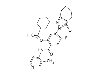 Cc1cnccc1NC(=O)c1cc(F)c(-n2nc3n(c2=O)CCCC3)cc1O[C@@H](C)C1CCCCC1